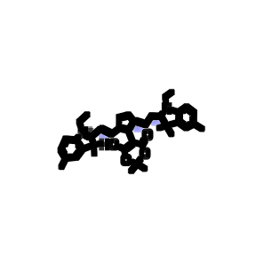 CCN1/C(=C/C=C2\C=CC(/C=C/C3=[N+](CC)c4ccc(C)cc4C3(C)C)=C2C2=C(O)OC(C)(C)OC2=O)C(C)(C)c2cc(C)ccc21